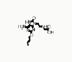 CCCCOc1nc(N)c2[nH]c(=O)n(CCNCC(=O)O)c2n1